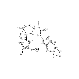 C[C@@H](C(=O)Nc1nc2cc3c(cc2s1)CCC3)N1CCC(F)(F)[C@H](c2c[nH]c(=O)c(CO)n2)C1